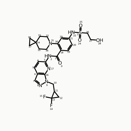 O=C(Nc1ccc2cnn(CC3CC3(F)F)c2n1)c1ccc(NS(=O)(=O)CCO)cc1N1CCC2(CC1)CC2